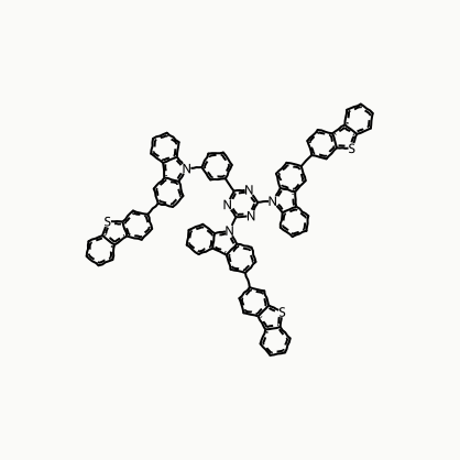 c1cc(-c2nc(-n3c4ccccc4c4cc(-c5ccc6c(c5)sc5ccccc56)ccc43)nc(-n3c4ccccc4c4cc(-c5ccc6c(c5)sc5ccccc56)ccc43)n2)cc(-n2c3ccccc3c3cc(-c4ccc5c(c4)sc4ccccc45)ccc32)c1